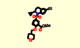 CCc1ccc2c(c1)CCC(C1CC1)N2S(=O)(=O)c1ccc(OCC2CCOCC2)c(C(=O)OC)c1